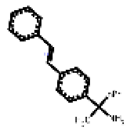 CCCC(C)(N)c1ccc(/C=C/c2ccccc2)cc1